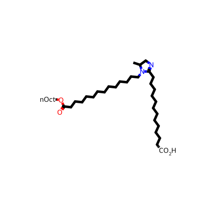 CCCCCCCCOC(=O)CCCCCCCCCCCCCN1C(CCCCCCCCCCCCC(=O)O)=NCC1C